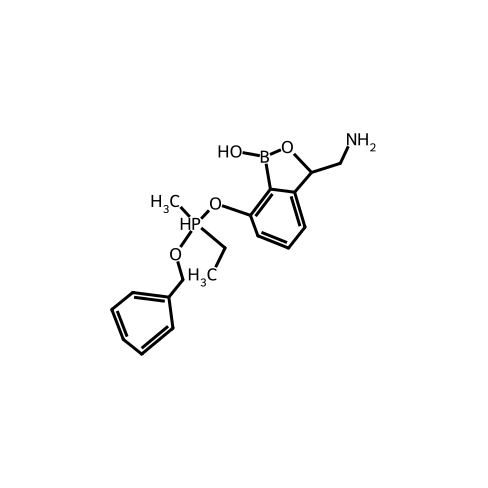 CC[PH](C)(OCc1ccccc1)Oc1cccc2c1B(O)OC2CN